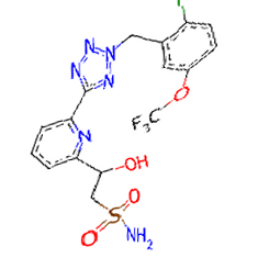 NS(=O)(=O)CC(O)c1cccc(-c2nnn(Cc3cc(OC(F)(F)F)ccc3F)n2)n1